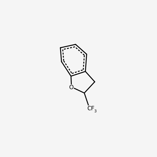 FC(F)(F)C1Cc2ccccc2O1